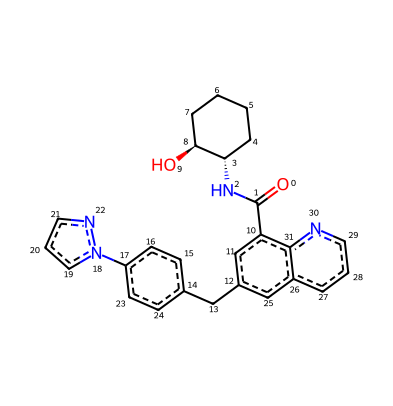 O=C(N[C@H]1CCCC[C@@H]1O)c1cc(Cc2ccc(-n3cccn3)cc2)cc2cccnc12